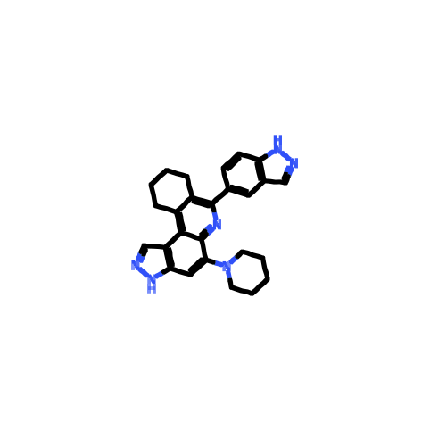 c1cc2[nH]ncc2cc1-c1nc2c(N3CCCCC3)cc3[nH]ncc3c2c2c1CCCC2